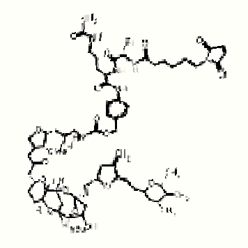 C=C1C[C@H](CC[C@]23C[C@@H](O)[C@](CCCC)(O2)[C@H]2C[C@@H](O3)[C@H]3O[C@@H](CC(=O)CC4CO[C@H](C[C@H](O)CNC(=O)OCc5ccc(NC(=O)C(CCCNC(N)=O)NC(=O)[C@@H](NC(=O)CCCCCN6C(=O)C=CC6=O)C(C)C)cc5)[C@@H]4OC)CC[C@@H]3O2)OC1CCC1C[C@@H](C)C(=C)[C@@H](C)O1